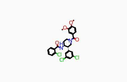 COc1ccc(C(=O)N2CC[C@H](NC(=O)c3ccccc3Cl)[C@@H](c3cc(Cl)cc(Cl)c3)C2)cc1OC